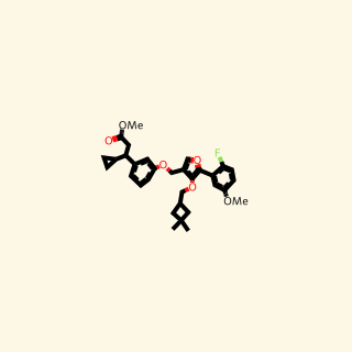 COC(=O)CC(c1cccc(OCc2coc(-c3cc(OC)ccc3F)c2OCC2CC(C)(C)C2)c1)C1CC1